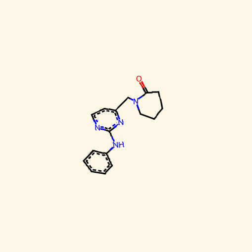 O=C1CCCCN1Cc1ccnc(Nc2ccccc2)n1